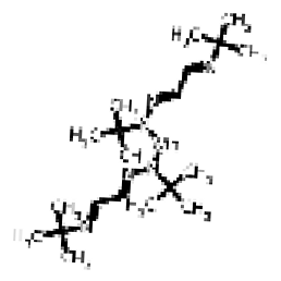 CC(C)(C)N=CC=N[N]([Mn][N](N=CC=NC(C)(C)C)C(C)(C)C)C(C)(C)C